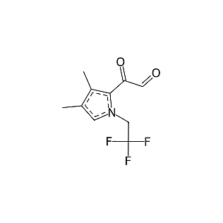 Cc1cn(CC(F)(F)F)c(C(=O)C=O)c1C